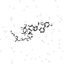 CCCCO[C@H](C)COCCOC1(C)CCN(c2c([C@H](OC(C)(C)C)C(=O)OC)c(C)c(C)c3nc(-c4cccc(-c5cc(F)ccc5O)c4)cn23)CC1